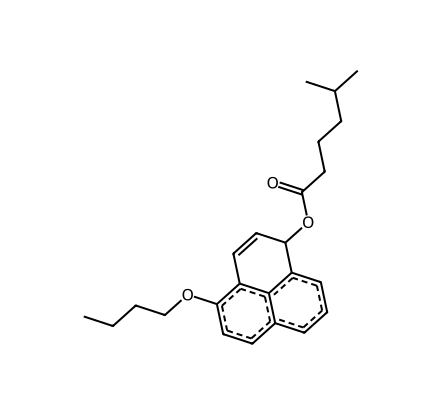 CCCCOc1ccc2cccc3c2c1C=CC3OC(=O)CCCC(C)C